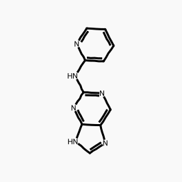 c1ccc(Nc2ncc3nc[nH]c3n2)nc1